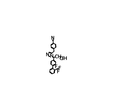 CC(c1ccc(-c2ccccc2C(F)(F)F)cc1)n1cncc1Cc1ccc(C#N)cc1.Cl